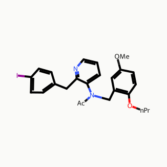 CCCOc1ccc(OC)cc1CN(C(C)=O)c1cccnc1Cc1ccc(I)cc1